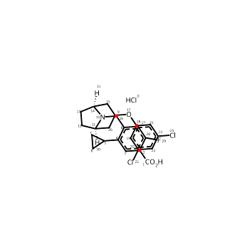 Cl.O=C(O)c1cc(C2CC2)c(CN2[C@@H]3CC[C@H]2CC(Oc2cc(Cl)cc(Cl)c2)C3)cc1F